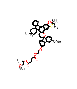 CCCCOCC(C)OC(=O)CCC(=O)OCCOc1ccc(C2(c3ccc(OC)cc3)C=Cc3c4c(c5cc6c(cc5c3O2)SC(C)(C)O6)-c2ccccc2C42CCC(CC)(CC)CC2)cc1